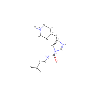 CC(C)CCNC(=O)n1cnc(CC2CCN(C)CC2)c1